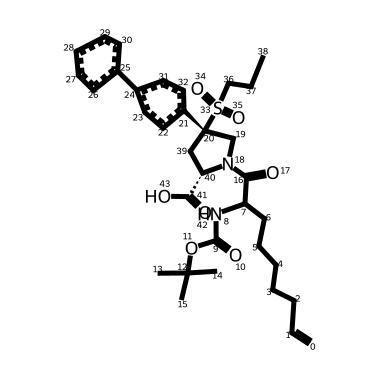 C=CCCCCCC(NC(=O)OC(C)(C)C)C(=O)N1C[C@@](c2ccc(-c3ccccc3)cc2)(S(=O)(=O)CCC)C[C@H]1C(=O)O